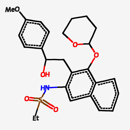 CCS(=O)(=O)Nc1cc2ccccc2c(OC2CCCCO2)c1CC(O)c1ccc(OC)cc1